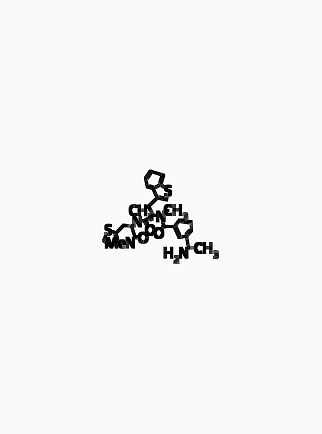 CNC(=O)[C@@H](Cc1cccs1)N(C)C(=O)[C@@H](Cc1csc2ccccc12)N(C)C(=O)c1cccc(C(C)N)c1